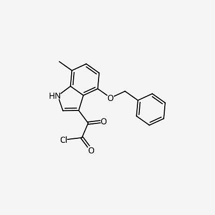 Cc1ccc(OCc2ccccc2)c2c(C(=O)C(=O)Cl)c[nH]c12